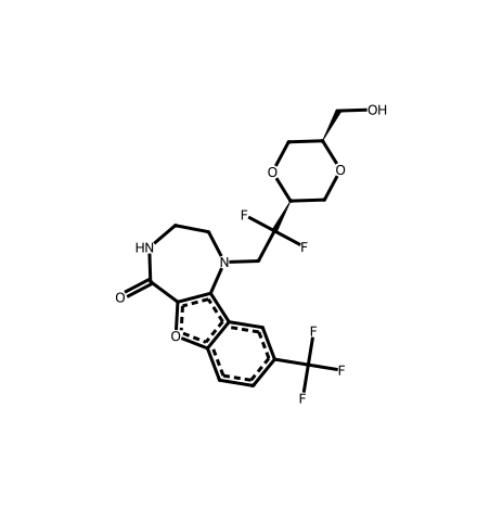 O=C1NCCN(CC(F)(F)[C@@H]2CO[C@H](CO)CO2)c2c1oc1ccc(C(F)(F)F)cc21